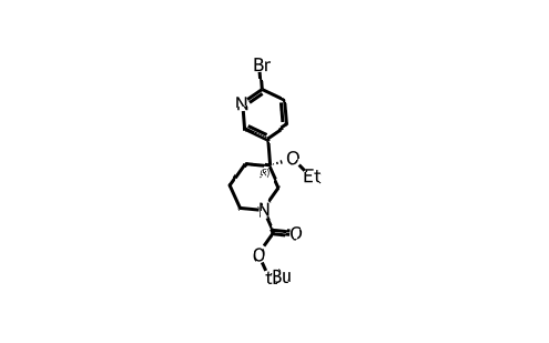 CCO[C@@]1(c2ccc(Br)nc2)CCCN(C(=O)OC(C)(C)C)C1